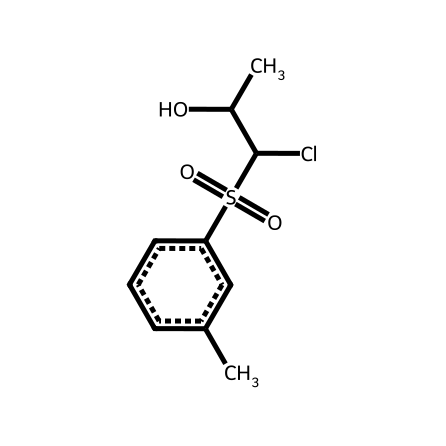 Cc1cccc(S(=O)(=O)C(Cl)C(C)O)c1